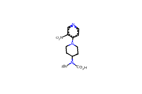 CC(C)(C)N(C(=O)O)C1CCN(c2ccncc2[N+](=O)[O-])CC1